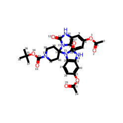 CC(=O)Oc1ccc2c(c1)[nH]c(=O)n2C1(n2c(=O)[nH]c3cc(OC(C)=O)ccc32)CCN(C(=O)OC(C)(C)C)CC1